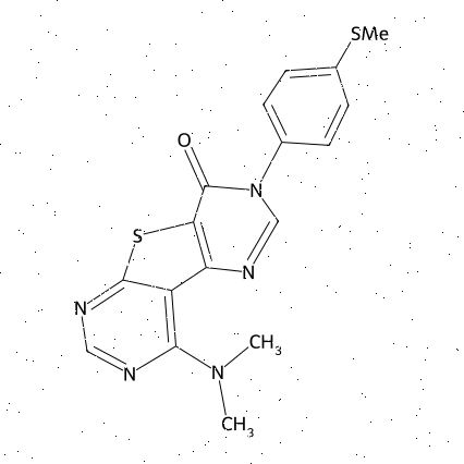 CSc1ccc(-n2cnc3c(sc4ncnc(N(C)C)c43)c2=O)cc1